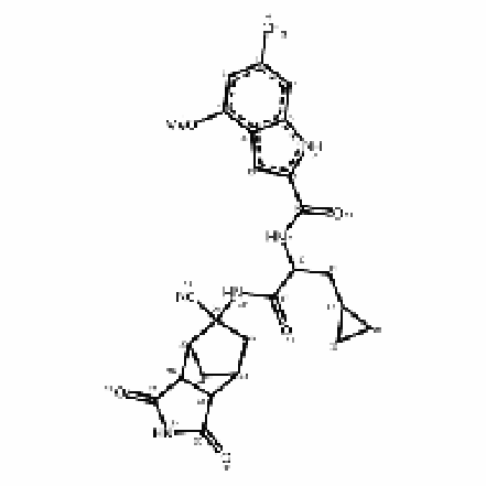 COc1cc(C)cc2[nH]c(C(=O)NC(CC3CC3)C(=O)NC3(C#N)CC4CC3C3C(=O)NC(=O)C43)cc12